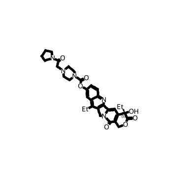 CCc1c2c(nc3ccc(OC(=O)N4CCN(CC(=O)N5CCCC5)CC4)cc13)-c1cc3c(c(=O)n1C2)COC(=O)[C@]3(O)CC